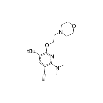 C#Cc1cc(C(C)(C)C)c(OCCN2CCOCC2)nc1N(C)C